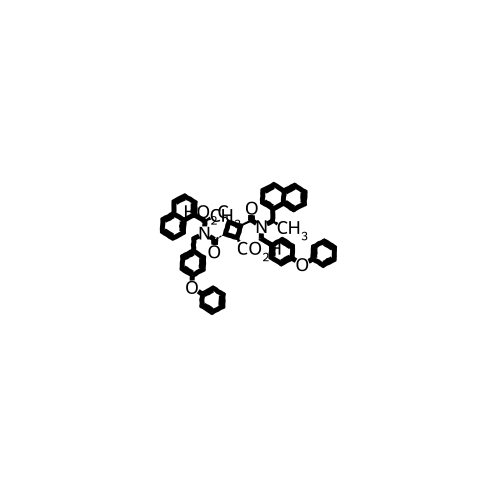 C[C@H](c1cccc2ccccc12)N(Cc1ccc(Oc2ccccc2)cc1)C(=O)[C@H]1[C@H](C(=O)O)[C@H](C(=O)N(Cc2ccc(Oc3ccccc3)cc2)[C@H](C)c2cccc3ccccc23)[C@H]1C(=O)O